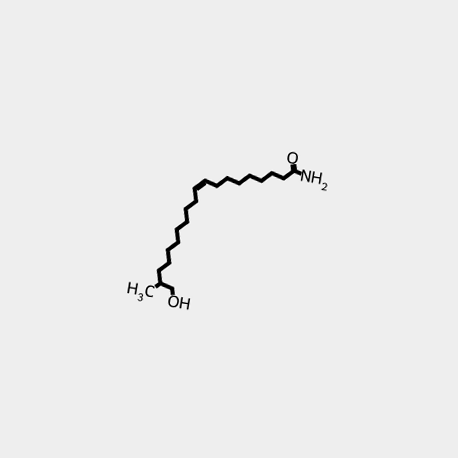 CC(CO)CCCCCCCC/C=C\CCCCCCCC(N)=O